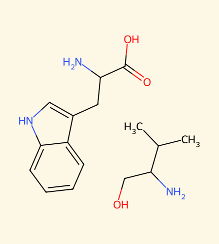 CC(C)C(N)CO.NC(Cc1c[nH]c2ccccc12)C(=O)O